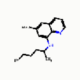 COc1cc(NC(C)CCCC(C)C)c2ncccc2c1